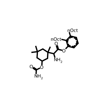 CCCCCCCCc1cccc(OC(=O)C(N)C2(C)CC(OC(N)=O)CC(C)(C)C2)c1CCCCCCCC